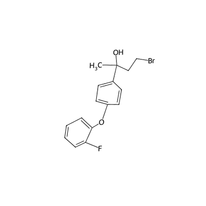 CC(O)(CCBr)c1ccc(Oc2ccccc2F)cc1